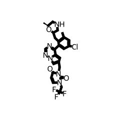 Cc1cc(Cl)cc(-c2ncnn3cc(Cn4c(=O)ccn(CC(F)(F)F)c4=O)cc23)c1CC1CNC[C@H](C)O1